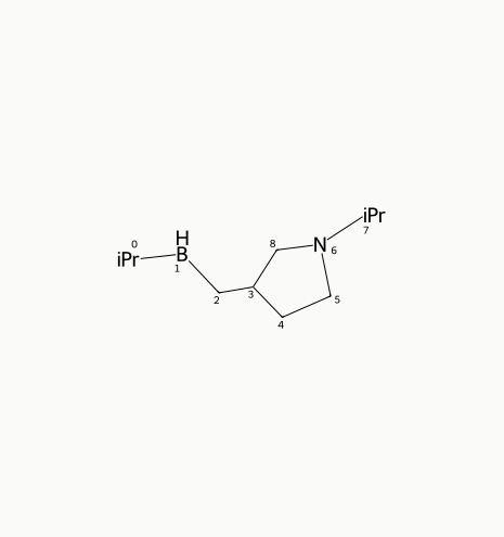 CC(C)BCC1CCN(C(C)C)C1